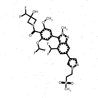 COc1cc(-c2c3c(C(F)F)cc(-c4cnn(CCS(C)(=O)=O)c4)cc3nn2C)cc(OC(F)F)c1C(=O)N1CC(O)(C(F)F)C1